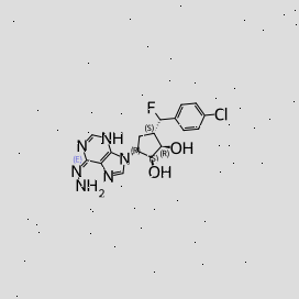 N/N=c1/nc[nH]c2c1ncn2[C@@H]1C[C@H](C(F)c2ccc(Cl)cc2)[C@@H](O)[C@H]1O